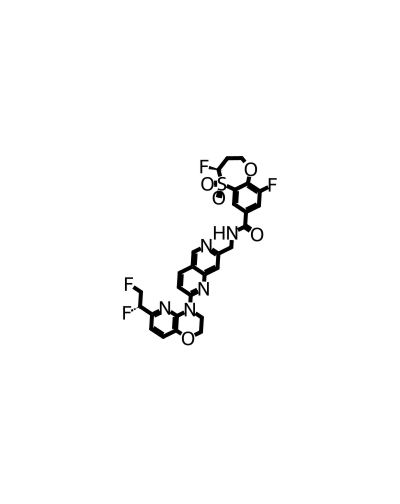 O=C(NCc1cc2nc(N3CCOc4ccc([C@H](F)CF)nc43)ccc2cn1)c1cc(F)c2c(c1)S(=O)(=O)[C@@H](F)CCO2